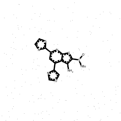 CCCC[S+]([O-])c1sc2nc(-c3nccs3)cc(-c3cocn3)c2c1N